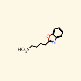 O=S(=O)(O)CCCCc1nc2ccccc2o1